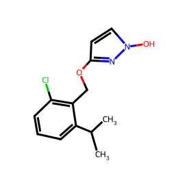 CC(C)c1cccc(Cl)c1COc1ccn(O)n1